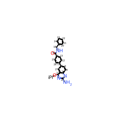 CC(C)Oc1nc(N)nc2ccc(-c3ccc(C(=O)NCc4ccccc4)cc3)cc12